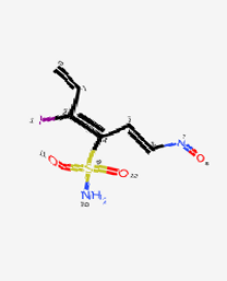 C=C/C(I)=C(\C=C\N=O)S(N)(=O)=O